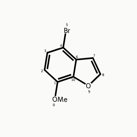 COc1ccc(Br)c2ccoc12